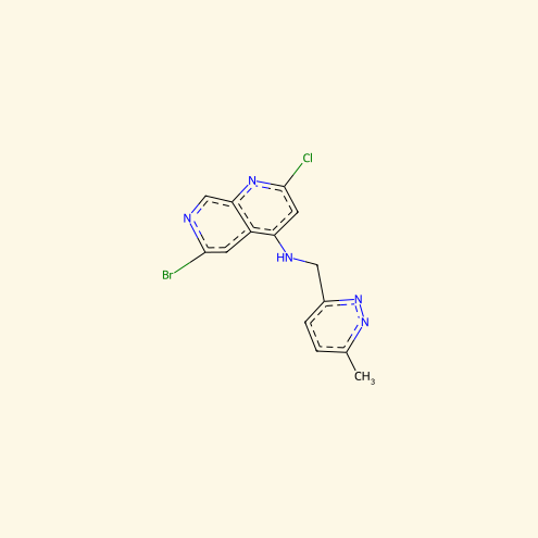 Cc1ccc(CNc2cc(Cl)nc3cnc(Br)cc23)nn1